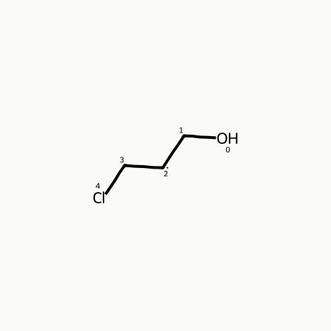 OC[CH]CCl